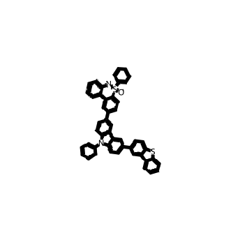 O=S1(c2ccccc2)=Nc2ccccc2-c2cc(-c3ccc4c(c3)c3cc(-c5ccc6sc7ccccc7c6c5)ccc3n4-c3ccccc3)ccc21